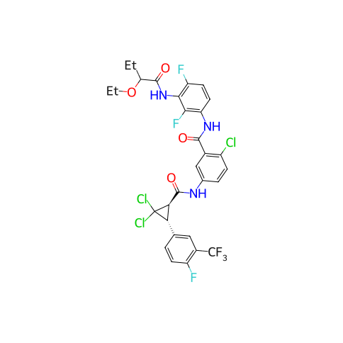 CCOC(CC)C(=O)Nc1c(F)ccc(NC(=O)c2cc(NC(=O)[C@H]3[C@H](c4ccc(F)c(C(F)(F)F)c4)C3(Cl)Cl)ccc2Cl)c1F